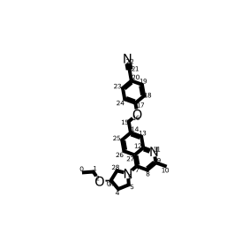 CCO[C@H]1CCN(c2cc(C)nc3cc(COc4ccc(C#N)cc4)ccc23)C1